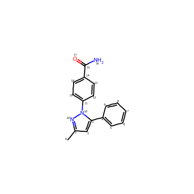 Cc1cc(-c2ccccc2)n(-c2ccc(C(N)=O)cc2)n1